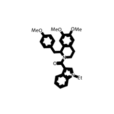 CCn1cc(C(=O)N2CCc3cc(OC)c(OC)cc3C2Cc2ccc(OC)cc2)c2ccccc21